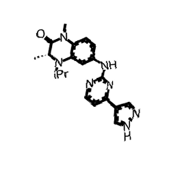 CC(C)N1c2cc(Nc3nccc(-c4cn[nH]c4)n3)ccc2N(C)C(=O)[C@H]1C